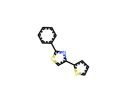 c1ccc(-c2nc(-c3cccs3)cs2)cc1